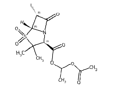 CC(=O)OC(C)OC(=O)[C@@H]1N2C(=O)[C@@H](I)[C@H]2S(=O)(=O)C1(C)C